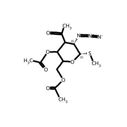 CS[C@@H]1OC(COC(C)=O)C(OC(C)=O)C(C(C)=O)[C@@H]1N=[N+]=[N-]